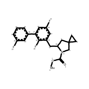 CC(C)(C)OC(=O)N1CC2(CC2)CC1Cc1cc(F)cc(-c2cccc(F)c2)c1F